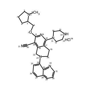 CN1CCCC1COc1nc(N2CCNCC2)c2c(c1C#N)CN(c1cccc3cccnc13)CC2.Cl